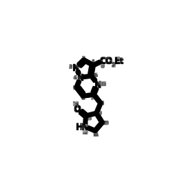 CCOC(=O)c1cnn2ccc(CC3CCNC3=O)nc12